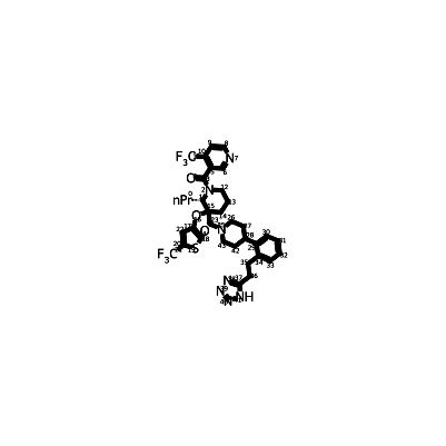 CCC[C@@H]1N(C(=O)c2cnccc2C(F)(F)F)CCCC1(Oc1csc(C(F)(F)F)c1)C(=O)N1CCC(c2ccccc2CCc2nnn[nH]2)CC1